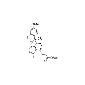 COC(=O)C=Cc1ccc(C2(C(F)(F)F)c3ccc(OC)cc3CCN2c2ccc(F)cc2)cc1